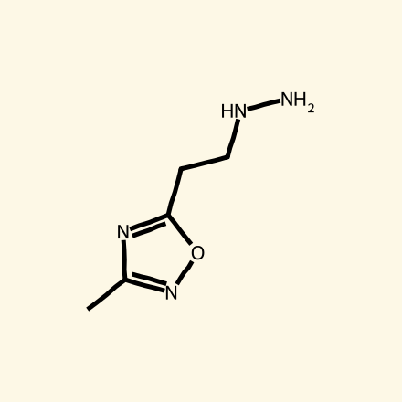 Cc1noc(CCNN)n1